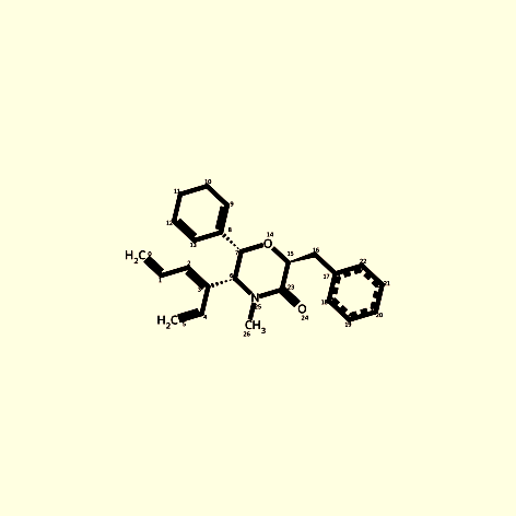 C=C/C=C(\C=C)[C@@H]1[C@H](C2=CCCC=C2)O[C@@H](Cc2ccccc2)C(=O)N1C